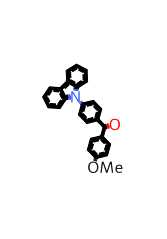 COc1ccc(C(=O)c2ccc(-n3c4ccccc4c4ccccc43)cc2)cc1